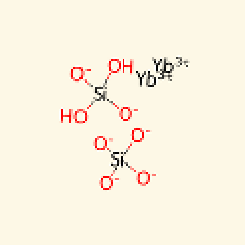 [O-][Si]([O-])(O)O.[O-][Si]([O-])([O-])[O-].[Yb+3].[Yb+3]